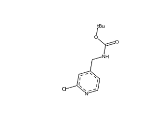 CC(C)(C)OC(=O)NCc1ccnc(Cl)c1